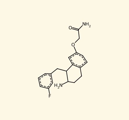 NC(=O)COc1ccc2c(c1)C(Cc1cccc(F)c1)C(N)CC2